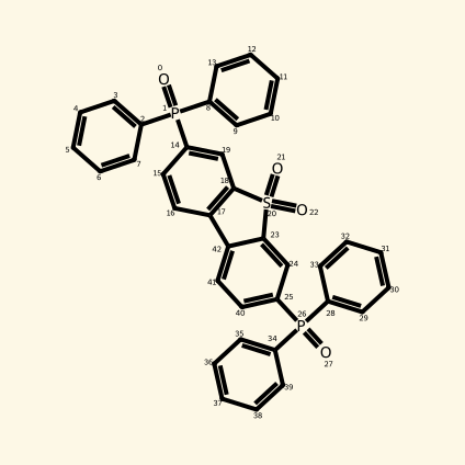 O=P(c1ccccc1)(c1ccccc1)c1ccc2c(c1)S(=O)(=O)c1cc(P(=O)(c3ccccc3)c3ccccc3)ccc1-2